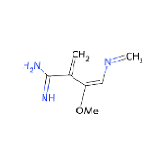 C=N/C=C(/OC)C(=C)C(=N)N